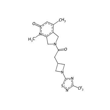 Cc1cc(=O)n(C)c2c1CN(C(=O)CC1CN(c3nc(C(F)(F)F)ns3)C1)C2